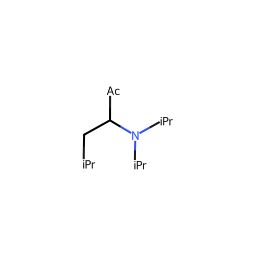 CC(=O)C(CC(C)C)N(C(C)C)C(C)C